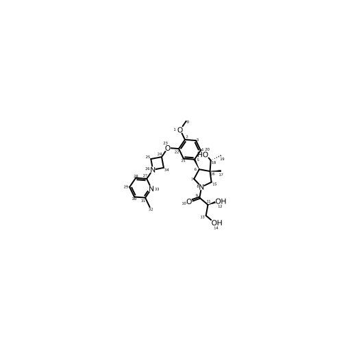 COc1ccc([C@@H]2CN(C(=O)[C@@H](O)CO)C[C@@]2(C)[C@@H](C)O)cc1OC1CN(c2cccc(C)n2)C1